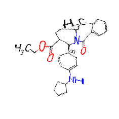 CCOC(=O)C1CCCN(C(=O)c2ccccc2C)C1[C@@H]1C=CC(NC2CCCC2)=CC1